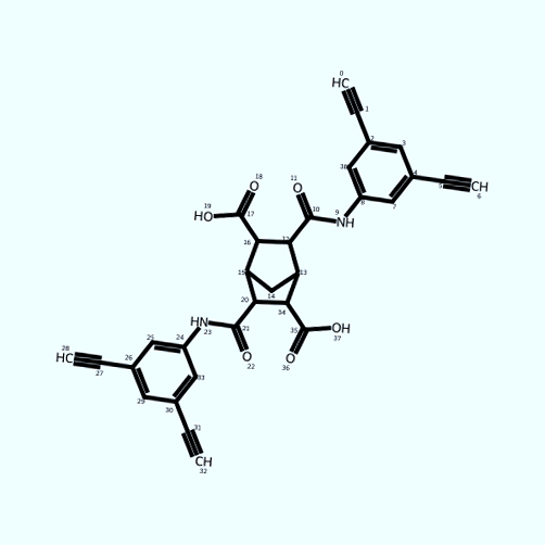 C#Cc1cc(C#C)cc(NC(=O)C2C3CC(C2C(=O)O)C(C(=O)Nc2cc(C#C)cc(C#C)c2)C3C(=O)O)c1